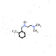 CC(=O)N(CCN(C)C)Cc1ccccc1C(F)(F)F